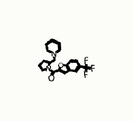 O=C(c1cc2cc(C(F)(F)F)ccc2o1)N1CCCC1CN1CCCCC1